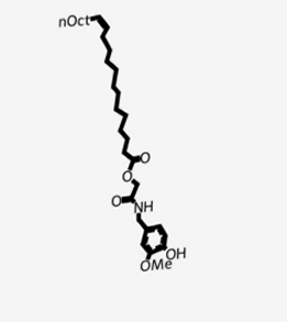 CCCCCCCC/C=C\CCCCCCCCCCCC(=O)OCC(=O)NCc1ccc(O)c(OC)c1